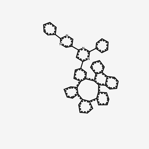 c1ccc(-c2ncc(-c3cc(-c4ccc5c6ccccc6c6ccccc6c6ccccc6c6c7ccccc7c7ccccc7c6c5c4)nc(-c4ccccc4)n3)cn2)cc1